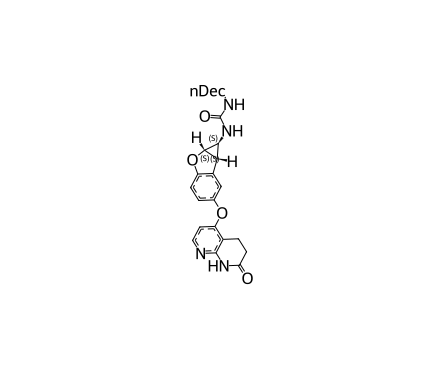 CCCCCCCCCCNC(=O)N[C@@H]1[C@H]2Oc3ccc(Oc4ccnc5c4CCC(=O)N5)cc3[C@@H]12